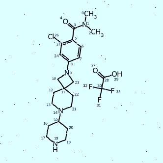 CN(C)C(=O)c1ccc(N2CC3(CCN(C4CCNCC4)CC3)C2)cc1Cl.O=C(O)C(F)(F)F